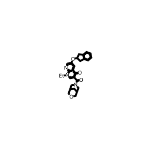 CCn1cc(C(=O)N2CC3COCC(C3)C2)c(=O)c2cc(OC3Cc4ccccc4C3)cnc21